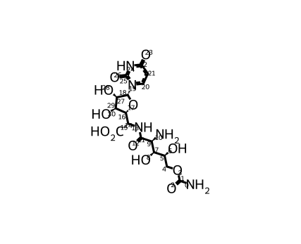 NC(=O)OC[C@H](O)[C@@H](O)[C@H](N)C(=O)N[C@H](C(=O)O)[C@H]1O[C@@H](n2ccc(=O)[nH]c2=O)[C@H](O)[C@@H]1O